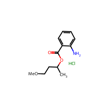 COCCC(C)OC(=O)c1ccccc1N.Cl